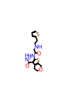 NC(=O)c1c(NC(=O)CNCCc2cccs2)sc2c1CCOC2